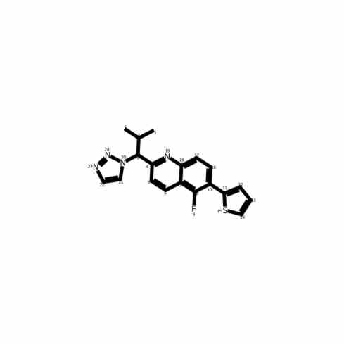 CC(C)C(c1ccc2c(F)c(-c3cccs3)ccc2n1)n1ccnn1